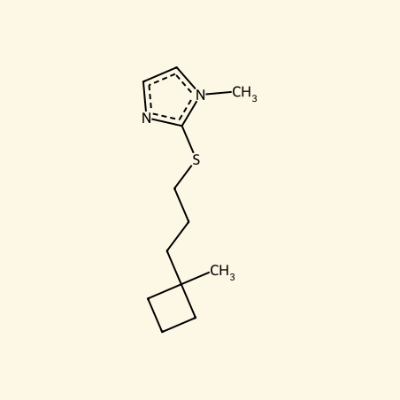 Cn1ccnc1SCCCC1(C)CCC1